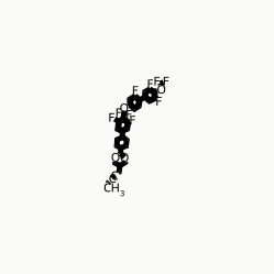 CCCCCC1COC(C2CCC(c3cc(F)c(C(F)(F)Oc4ccc(-c5cc(F)c(OC(F)F)c(F)c5)c(F)c4)c(F)c3)CC2)OC1